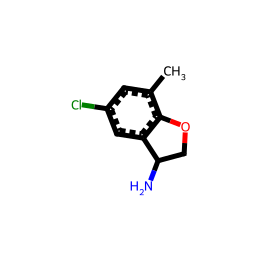 Cc1cc(Cl)cc2c1OCC2N